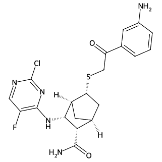 NC(=O)[C@H]1[C@H]2C[C@@H]([C@H]1Nc1nc(Cl)ncc1F)[C@H](SCC(=O)c1cccc(N)c1)C2